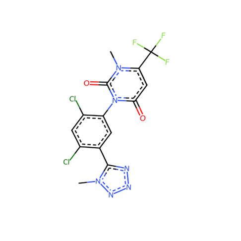 Cn1nnnc1-c1cc(-n2c(=O)cc(C(F)(F)F)n(C)c2=O)c(Cl)cc1Cl